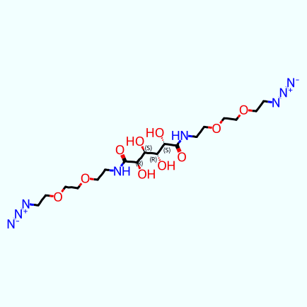 [N-]=[N+]=NCCOCCOCCNC(=O)[C@@H](O)[C@H](O)[C@H](O)[C@@H](O)C(=O)NCCOCCOCCN=[N+]=[N-]